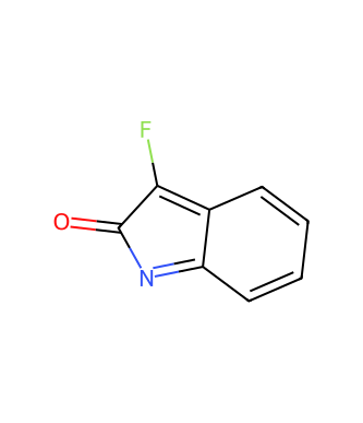 O=C1N=c2ccccc2=C1F